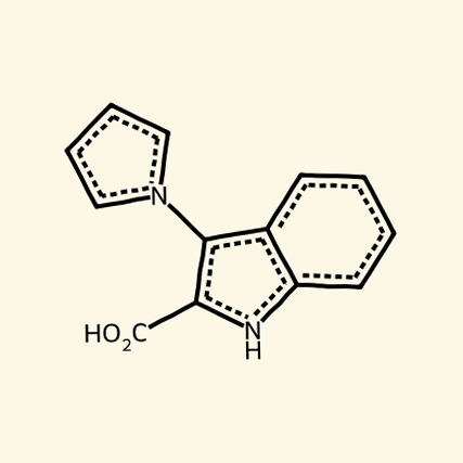 O=C(O)c1[nH]c2ccccc2c1-n1cccc1